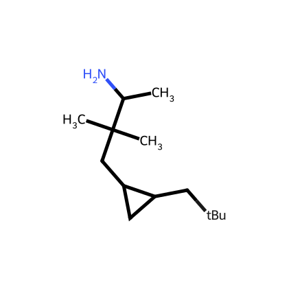 CC(N)C(C)(C)CC1CC1CC(C)(C)C